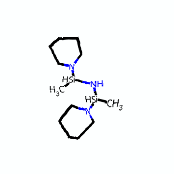 C[SiH](N[SiH](C)N1CCCCC1)N1CCCCC1